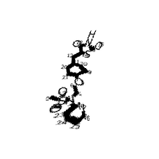 CS(=O)(=O)N(CCOc1ccc(/C=C2\SC(=O)NC2=O)cc1)c1ccccn1